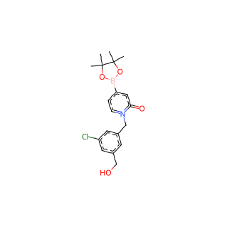 CC1(C)OB(c2ccn(Cc3cc(Cl)cc(CO)c3)c(=O)c2)OC1(C)C